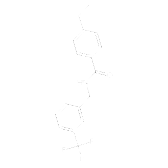 CCc1ccc(C(=O)NCc2cccc(C(F)(F)F)c2)cc1